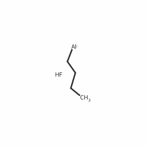 CCC[CH2][Al].F